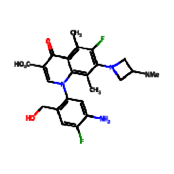 CNC1CN(c2c(F)c(C)c3c(=O)c(C(=O)O)cn(-c4cc(N)c(F)cc4CO)c3c2C)C1